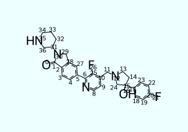 O=C1c2ccc(-c3nccc(CN4CCC(O)(c5ccc(F)cc5)C4)c3F)cc2CN1C1CCCNC1